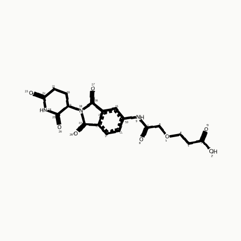 O=C(O)CCOCC(=O)Nc1ccc2c(c1)C(=O)N(C1CCC(=O)NC1=O)C2=O